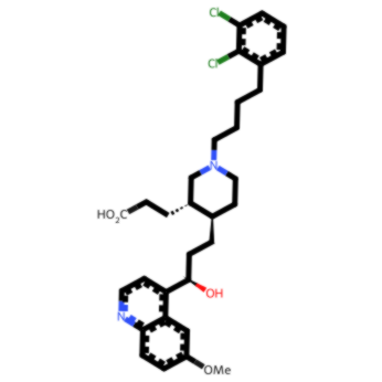 COc1ccc2nccc([C@H](O)CC[C@@H]3CCN(CCCCc4cccc(Cl)c4Cl)C[C@H]3CCC(=O)O)c2c1